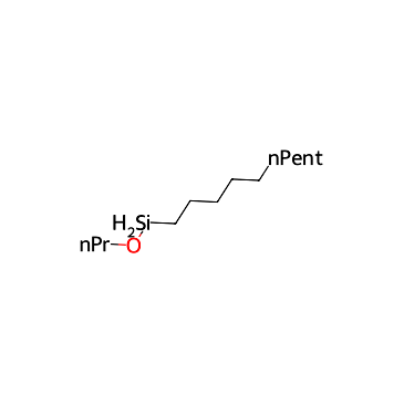 CCCCCCCCCC[SiH2]OCCC